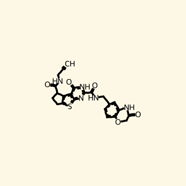 C#CCNC(=O)C1CCc2sc3nc(C(=O)NCc4ccc5c(c4)NC(=O)CO5)[nH]c(=O)c3c21